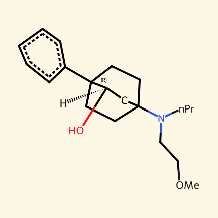 CCCN(CCOC)C12CCC(c3ccccc3)(CC1)[C@H](O)C2